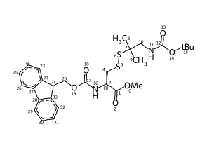 COC(=O)[C@H](CSSC(C)(C)CNC(=O)OC(C)(C)C)NC(=O)OCC1c2ccccc2-c2ccccc21